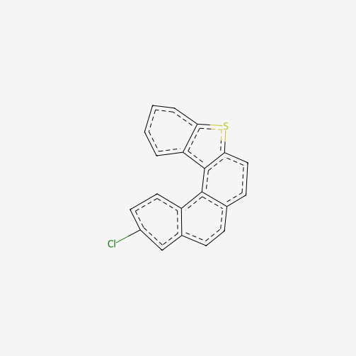 Clc1ccc2c(ccc3ccc4sc5ccccc5c4c32)c1